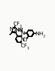 Cc1nc(C(F)(F)F)[nH]c1-c1ccc(C(F)(F)F)nc1N(C=O)c1ccc(N)cc1Cl